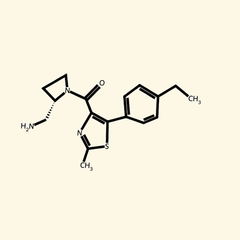 CCc1ccc(-c2sc(C)nc2C(=O)N2CC[C@H]2CN)cc1